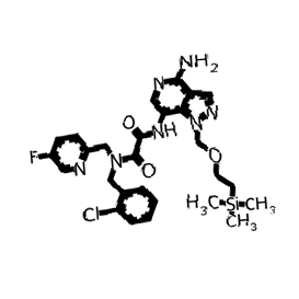 C[Si](C)(C)CCOCn1ncc2c(N)ncc(NC(=O)C(=O)N(Cc3ccc(F)cn3)Cc3ccccc3Cl)c21